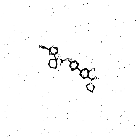 N#Cc1nccc(C2(NC(=O)Nc3ccc(-c4ccc(C(=O)N5CCCC5)c(Cl)c4)cc3)CCCCC2)n1